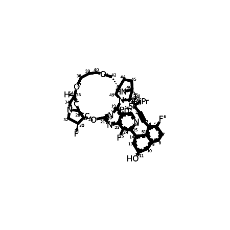 CC(C)[Si](C#Cc1c(F)ccc2cc(O)cc(-c3ncc4c5nc(nc4c3F)OC[C@]34C[C@@H](F)CN3C[C@@H](C4)OCCCOC[C@@]34CC[C@@H](CN5C3)N4)c12)(C(C)C)C(C)C